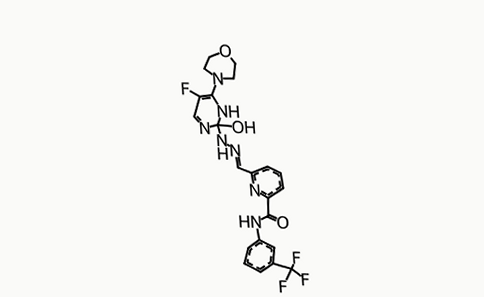 O=C(Nc1cccc(C(F)(F)F)c1)c1cccc(/C=N/NC2(O)N=CC(F)=C(N3CCOCC3)N2)n1